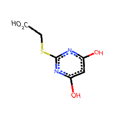 O=C(O)CSc1nc(O)cc(O)n1